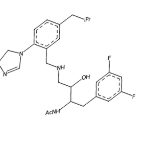 CC(=O)NC(Cc1cc(F)cc(F)c1)C(O)CNCc1cc(CC(C)C)ccc1N1C=NCC1